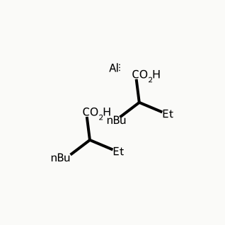 CCCCC(CC)C(=O)O.CCCCC(CC)C(=O)O.[Al]